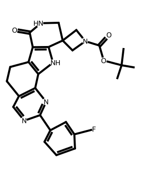 CC(C)(C)OC(=O)N1CC2(CNC(=O)c3c2[nH]c2c3CCc3cnc(-c4cccc(F)c4)nc3-2)C1